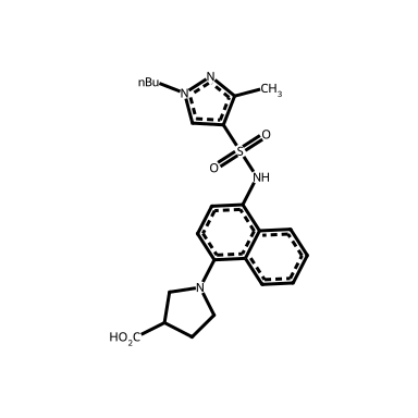 CCCCn1cc(S(=O)(=O)Nc2ccc(N3CCC(C(=O)O)C3)c3ccccc23)c(C)n1